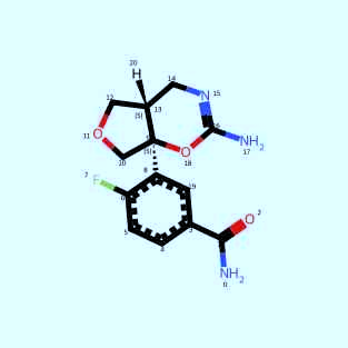 NC(=O)c1ccc(F)c([C@]23COC[C@@H]2CN=C(N)O3)c1